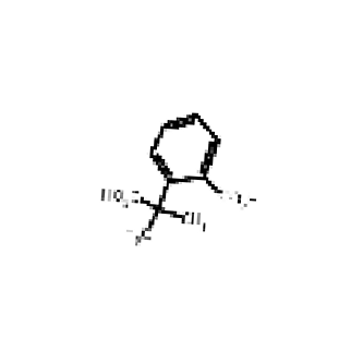 CC(C)(C(=O)O)c1ccccc1C(=O)O